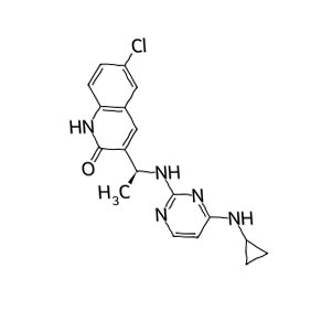 C[C@H](Nc1nccc(NC2CC2)n1)c1cc2cc(Cl)ccc2[nH]c1=O